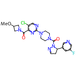 COC1CN(C(=O)c2nc(N3CCN(C(=O)N4N=CCC4c4cncc(F)c4)CC3)ncc2Cl)C1